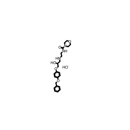 Cl.O=C(NCCNCC(O)COc1ccc(OCc2ccccc2)cc1)N1CCOCC1